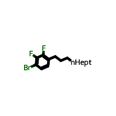 CCCCCCCCCCc1ccc(Br)c(F)c1F